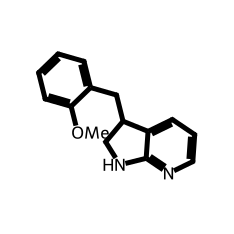 COc1ccccc1CC1CNc2ncccc21